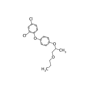 CCCOCC(C)Oc1ccc(Oc2ccc(Cl)cc2Cl)cc1